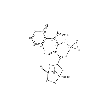 O=C(OC1C[C@H]2CC[C@@H](C1)N2)c1c(-c2c(Cl)cccc2Cl)noc1C1(F)CC1